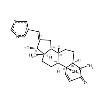 CN1C(=O)C=C[C@]2(C)[C@H]3CC[C@]4(C)[C@@H](O)/C(=C\c5cncnc5)C[C@H]4[C@@H]3CC[C@@H]12